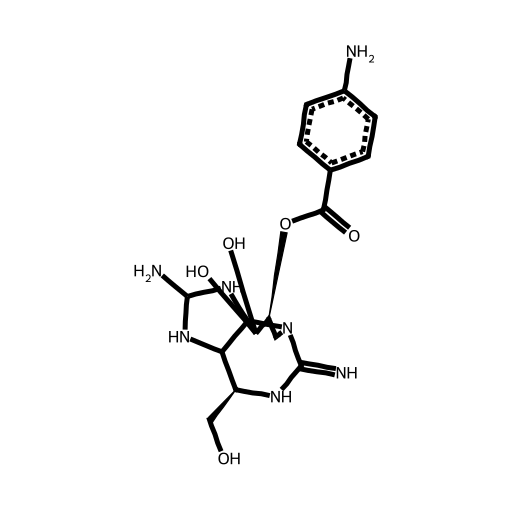 N=C1N[C@@H](CO)C2NC(N)NC23N1C[C@H](OC(=O)c1ccc(N)cc1)C3(O)O